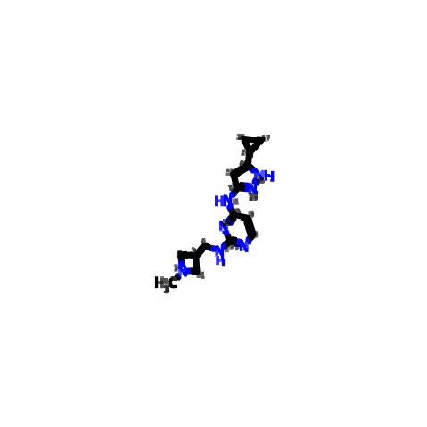 CN1CC(CNc2nccc(Nc3cc(C4CC4)[nH]n3)n2)C1